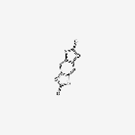 O=c1oc2cc3oc(=O)sc3cc2s1